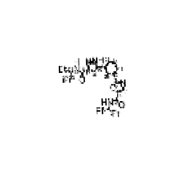 CCC(CC)NC(=O)c1cnc(-c2cccc(-c3cc(C(=O)NC(CC)C(C)C)n[nH]3)c2)o1